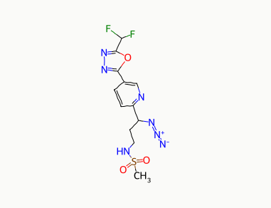 CS(=O)(=O)NCCC(N=[N+]=[N-])c1ccc(-c2nnc(C(F)F)o2)cn1